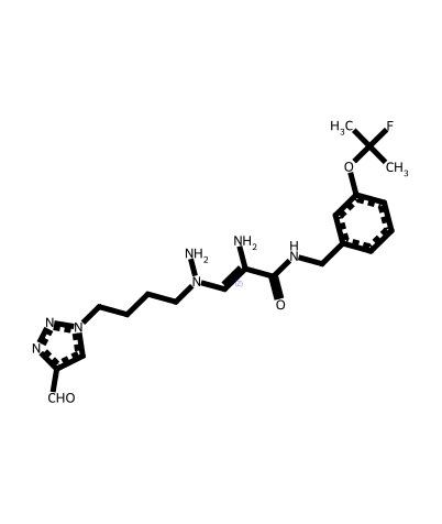 CC(C)(F)Oc1cccc(CNC(=O)/C(N)=C/N(N)CCCCn2cc(C=O)nn2)c1